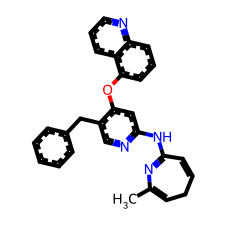 CC1=CCC=CC(Nc2cc(Oc3cccc4ncccc34)c(Cc3ccccc3)cn2)=N1